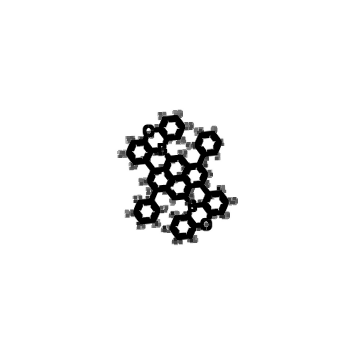 c1ccc(-c2cc3c4c(cc5c(-c6ccccc6)cc6c7c(cc2c4c57)B2c4ccccc4Oc4cccc-6c42)B2c4ccccc4Oc4cccc-3c42)cc1